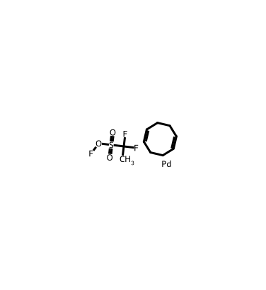 C1=CCCC=CCC1.CC(F)(F)S(=O)(=O)OF.[Pd]